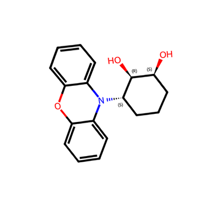 O[C@H]1[C@@H](O)CCC[C@@H]1N1c2ccccc2Oc2ccccc21